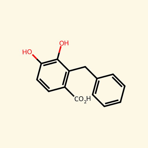 O=C(O)c1ccc(O)c(O)c1Cc1ccccc1